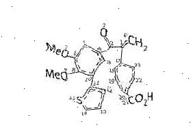 C=C(C(=O)c1cc(OC)c(OC)c(-c2cccs2)c1)c1ccc(C(=O)O)cc1